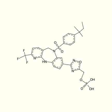 CCC(C)(C)c1ccc(S(=O)(=O)N2Cc3ccc(C(F)(F)F)nc3Nc3ccc(-c4noc(COP(=O)(O)O)n4)cc32)cc1